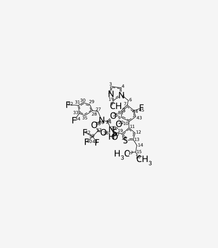 Cc1nccn1Cc1ccc(-c2cc(CC(C)C)sc2S(=O)(=O)NC(=O)N(Cc2ccc(F)c(F)c2)OC(=O)C(F)(F)F)cc1F